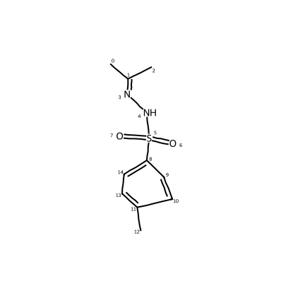 CC(C)=NNS(=O)(=O)c1ccc(C)cc1